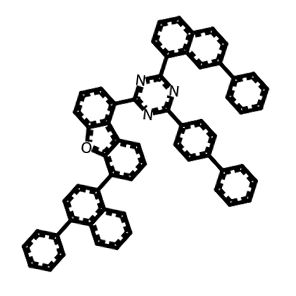 c1ccc(-c2ccc(-c3nc(-c4cccc5ccc(-c6ccccc6)cc45)nc(-c4cccc5oc6c(-c7ccc(-c8ccccc8)c8ccccc78)cccc6c45)n3)cc2)cc1